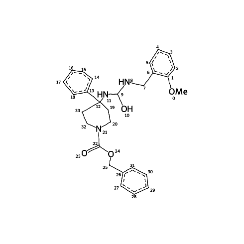 COc1ccccc1CNC(O)NC1(c2ccccc2)CCN(C(=O)OCc2ccccc2)CC1